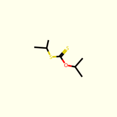 CC(C)OC(=S)SC(C)C